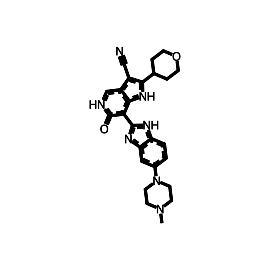 CN1CCN(c2ccc3[nH]c(-c4c(=O)[nH]cc5c(C#N)c(C6CCOCC6)[nH]c45)nc3c2)CC1